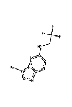 FC(F)(F)CNc1ccc2ncc(Br)n2n1